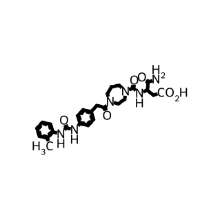 Cc1ccccc1NC(=O)Nc1ccc(CC(=O)N2CCCN(C(=O)NC(CC(=O)O)C(N)=O)CC2)cc1